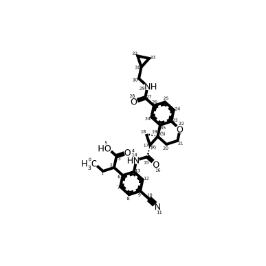 CCC(C(=O)O)c1ccc(C#N)cc1NC(=O)[C@@H]1C[C@]12CCOc1ccc(C(=O)NCC3CC3)cc12